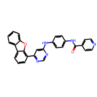 O=C(Nc1ccc(Nc2cc(-c3cccc4c3oc3ccccc34)ncn2)cc1)c1ccncc1